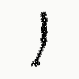 CCC(C)C(=O)OCCCCCCCCCCOc1ccc(N=Nc2cc3sc(N=Nc4ccc(N5CCCC5)cc4)nc3s2)cc1